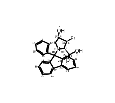 O=C(O)[C@@H]1[C@H](F)[C@H](O)CN1C1(c2ccccc2)c2ccccc2-c2ccccc21